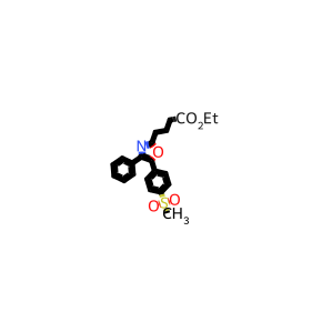 CCOC(=O)CCCc1nc(-c2ccccc2)c(-c2ccc(S(C)(=O)=O)cc2)o1